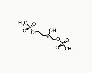 CS(=O)(=O)OCC[C@@H](O)COS(C)(=O)=O